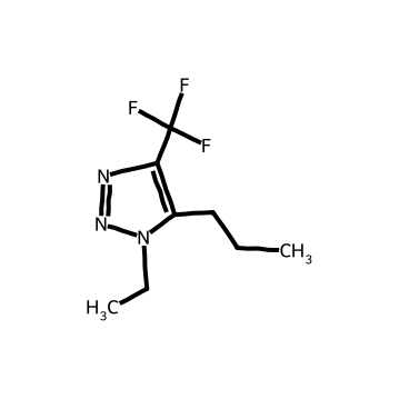 CCCc1c(C(F)(F)F)nnn1CC